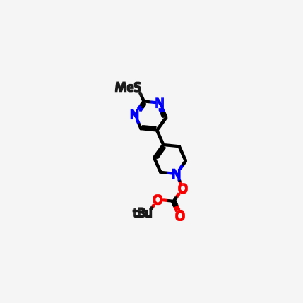 CSc1ncc(C2=CCN(OC(=O)OC(C)(C)C)CC2)cn1